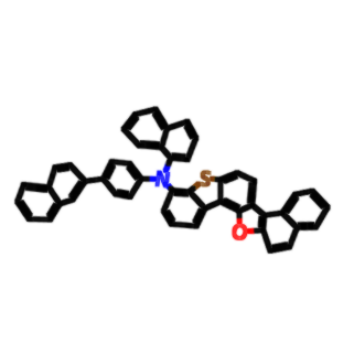 c1ccc2cc(-c3ccc(N(c4cccc5ccccc45)c4cccc5c4sc4ccc6c(oc7ccc8ccccc8c76)c45)cc3)ccc2c1